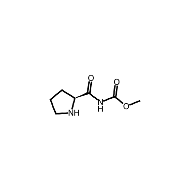 COC(=O)NC(=O)[C@@H]1CCCN1